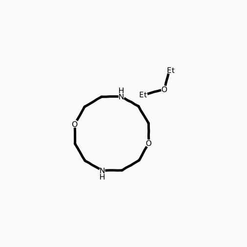 C1COCCNCCOCCN1.CCOCC